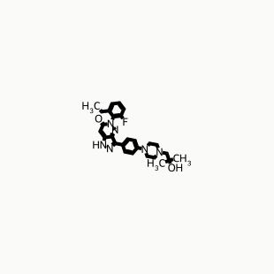 CCc1cccc(F)c1-n1nc2c(-c3ccc(N4CCN(CC(C)(C)O)CC4)cc3)n[nH]c2cc1=O